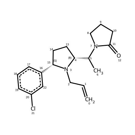 C=CCN1[C@@H](C(C)N2CCCC2=O)CC[C@H]1c1cccc(Cl)c1